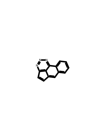 C1=Cc2nnnc3c2c1cc1ccccc13